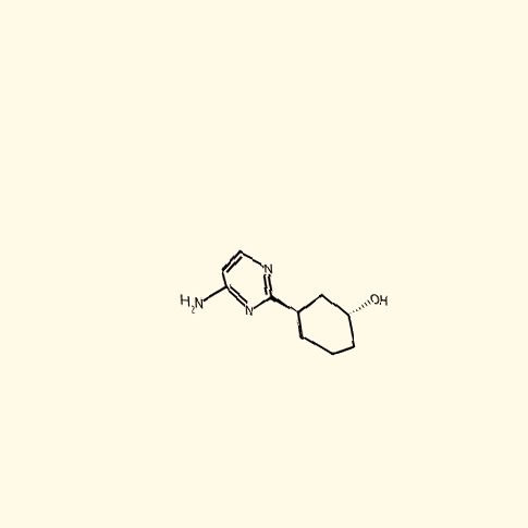 Nc1ccnc([C@@H]2CCC[C@@H](O)C2)n1